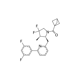 C[C@@H]1[C@H](Cc2cccc(-c3cc(F)cc(F)c3)n2)N(C(=O)C23CC(C2)C3)CC1(F)F